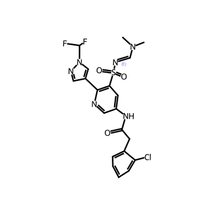 CN(C)/C=N/S(=O)(=O)c1cc(NC(=O)Cc2ccccc2Cl)cnc1-c1cnn(C(F)F)c1